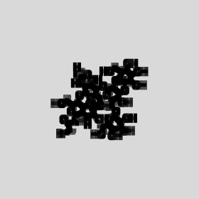 CC(=O)N[C@H]1C(O)[C@H](O[C@@H]2OC(CO[C@H]3OC(CO)[C@@H](O)C(O)[C@H]3O)[C@@H](O)C(O[C@H]3OC(CO)[C@@H](O)C(O)C3O)[C@H]2O)C(CO)O[C@H]1O[C@@H]1C(CO)O[C@@H](NC(=O)CBr)[C@@H](NC(C)=O)C1O